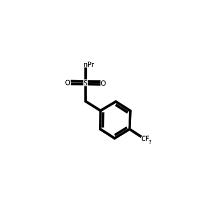 CCCS(=O)(=O)Cc1ccc(C(F)(F)F)cc1